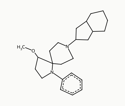 COC1CCN(c2ccccc2)C12CCN(C1CC3CCCCC3C1)CC2